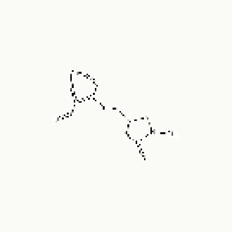 CN1CC(CSc2ccccc2C=O)OC1=O